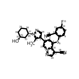 Cc1c(-c2cc(Sc3ccc(F)cc3C#N)c3c(C#N)cnn3c2)cnn1[C@@H]1CCC[C@H](O)C1